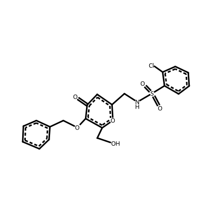 O=c1cc(CNS(=O)(=O)c2ccccc2Cl)oc(CO)c1OCc1ccccc1